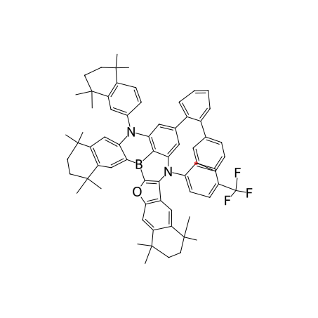 CC1(C)CCC(C)(C)c2cc(N3c4cc5c(cc4B4c6oc7cc8c(cc7c6N(c6ccc(C(F)(F)F)cc6)c6cc(-c7ccccc7-c7ccccc7)cc3c64)C(C)(C)CCC8(C)C)C(C)(C)CCC5(C)C)ccc21